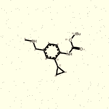 CBCc1ccc(NC(=O)OC(C)(C)C)c(C2CC2)c1